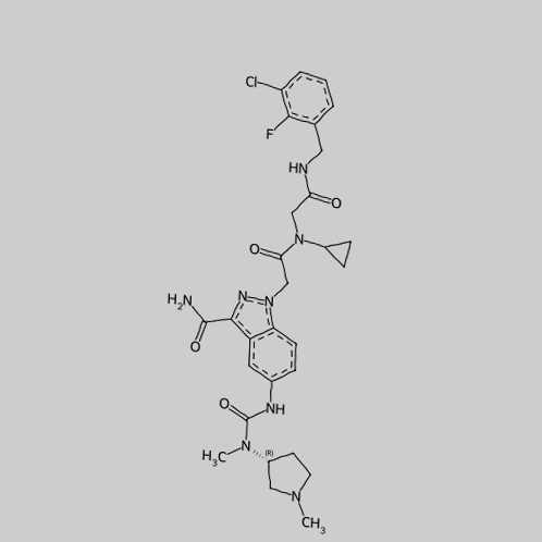 CN1CC[C@@H](N(C)C(=O)Nc2ccc3c(c2)c(C(N)=O)nn3CC(=O)N(CC(=O)NCc2cccc(Cl)c2F)C2CC2)C1